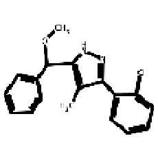 COC(c1ccccc1)c1[nH]nc(-c2ccccc2Cl)c1C